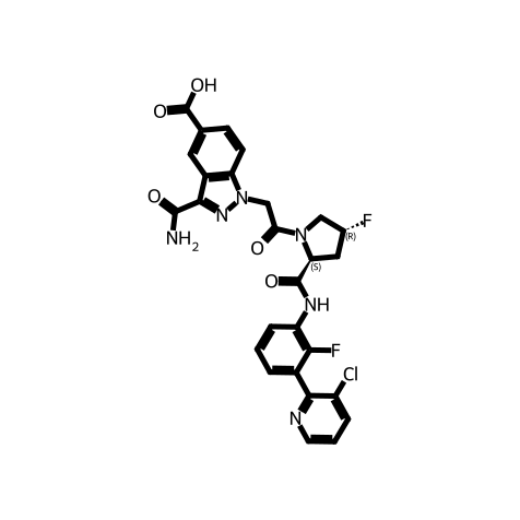 NC(=O)c1nn(CC(=O)N2C[C@H](F)C[C@H]2C(=O)Nc2cccc(-c3ncccc3Cl)c2F)c2ccc(C(=O)O)cc12